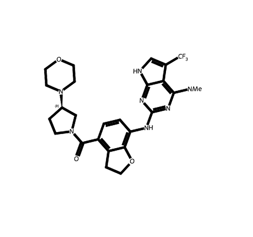 CNc1nc(Nc2ccc(C(=O)N3CC[C@@H](N4CCOCC4)C3)c3c2OCC3)nc2[nH]cc(C(F)(F)F)c12